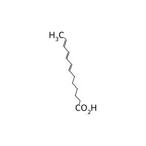 C/C=C/C=C/C=C/CCCCCC(=O)O